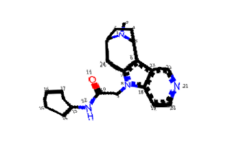 CN1C2CCC1c1c(n(CC(=O)NC3CCCC3)c3ccncc13)C2